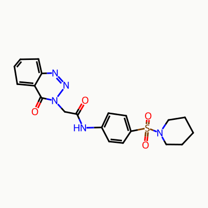 O=C(Cn1nnc2ccccc2c1=O)Nc1ccc(S(=O)(=O)N2CCCCC2)cc1